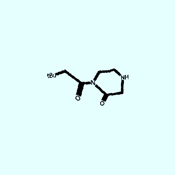 CC(C)(C)CC(=O)N1CCNCC1=O